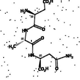 C[C@H](NC(=O)[C@@H](N)CC(=O)O)C(=O)N[C@@H](CC(N)=O)C(=O)O